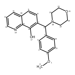 COc1ccc(C(c2ccc3cccnc3c2O)N2CCOCC2)cc1